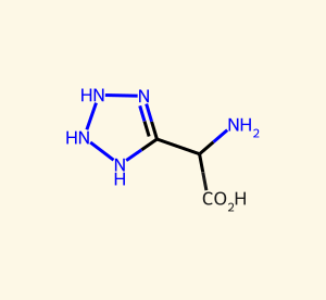 NC(C(=O)O)C1=NNNN1